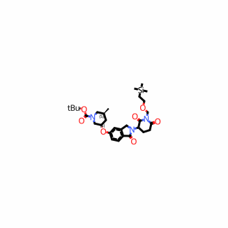 C[C@H]1C[C@H](Oc2ccc3c(c2)CN(C2CCC(=O)N(COCC[Si](C)(C)C)C2=O)C3=O)CN(C(=O)OC(C)(C)C)C1